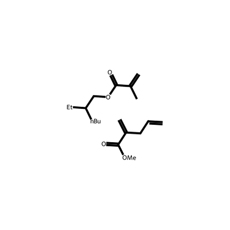 C=C(C)C(=O)OCC(CC)CCCC.C=CCC(=C)C(=O)OC